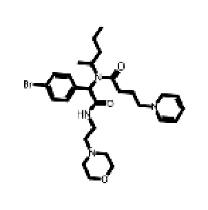 CCCC(C)N(C(=O)CCCN1C=CC=CC1)C(C(=O)NCCN1CCOCC1)c1ccc(Br)cc1